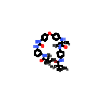 CCC(C)(C)C(=O)Nc1cccc(NC(=O)Nc2ccc(Oc3ccc(NC(C)(CC)C(=O)Nc4ccc(NC(=O)C(C)(CC)CC)cc4)cc3)cc2)c1